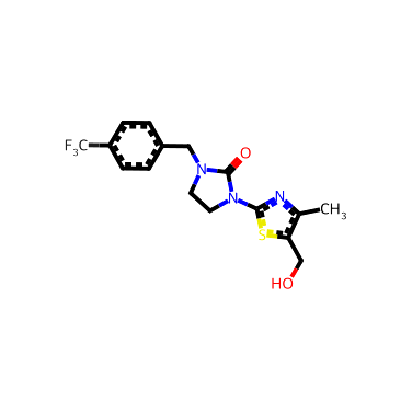 Cc1nc(N2CCN(Cc3ccc(C(F)(F)F)cc3)C2=O)sc1CO